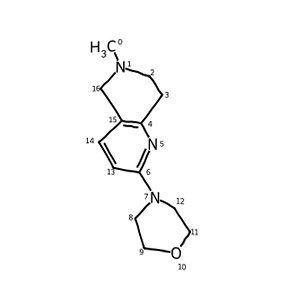 CN1CCc2nc(N3CCOCC3)ccc2C1